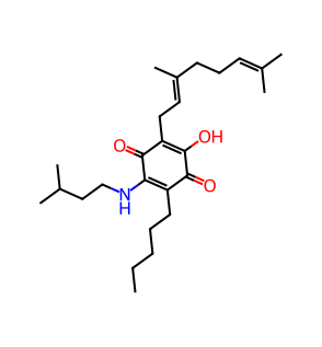 CCCCCC1=C(NCCC(C)C)C(=O)C(C/C=C(\C)CCC=C(C)C)=C(O)C1=O